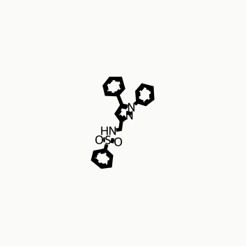 O=S(=O)(NCc1cc(-c2ccccc2)n(-c2ccccc2)n1)c1ccccc1